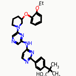 CCOc1ccccc1OC1CCCN(c2cncc(Nc3ccnc(-c4ccc(C(C)(C)C(=O)O)cc4)n3)n2)C1